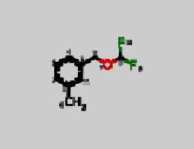 Cc1cccc(COC(F)F)c1